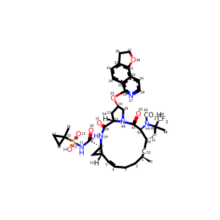 C[C@H]1CCC=C[C@@H]2C[C@@]2(C(=O)NS(=O)(=O)C2(C)CC2)NC(=O)[C@@H]2C[C@@H](Oc3nccc4c5c(ccc34)CCO5)CN2C(=O)[C@@H](N(C(=O)O)C(C)(C)C(F)(F)F)[C@H](C)C1